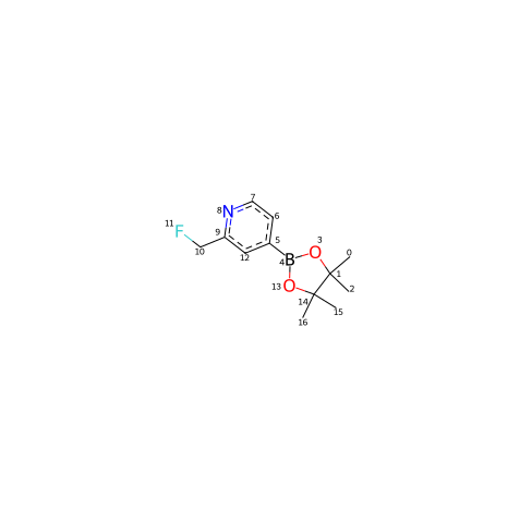 CC1(C)OB(c2ccnc(CF)c2)OC1(C)C